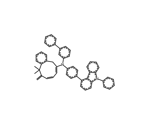 C=C1/C=C\C=C(\N(c2ccc(-c3cccc4c3c3ccccc3n4-c3ccccc3)cc2)c2cccc(-c3ccccc3)c2)Cc2ccccc2C1(C)C